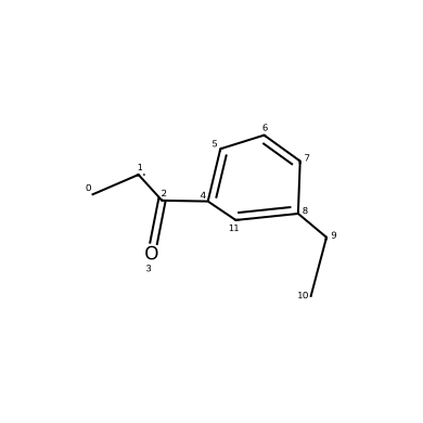 C[CH]C(=O)c1cccc(CC)c1